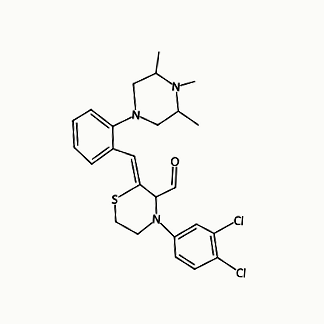 CC1CN(c2ccccc2C=C2SCCN(c3ccc(Cl)c(Cl)c3)C2C=O)CC(C)N1C